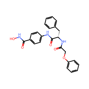 O=C(COc1ccccc1)N[C@@H](Cc1ccccc1)C(=O)Nc1ccc(C(=O)NO)cc1